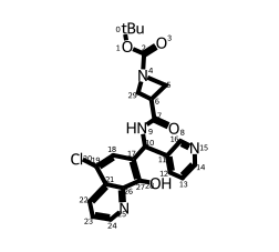 CC(C)(C)OC(=O)N1CC(C(=O)NC(c2cccnc2)c2cc(Cl)c3cccnc3c2O)C1